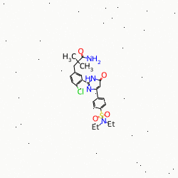 CCN(CC)S(=O)(=O)c1ccc(-c2cc(=O)[nH]c(-c3cc(CC(C)(C)C(N)=O)ccc3Cl)n2)cc1